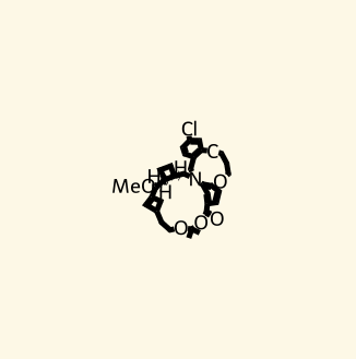 CO[C@@H]1C2=CC(CCOC(C)(C)OC(=O)c3ccc4c(c3)N(Cc3ccc(Cl)cc3CCCCO4)C[C@@H]3CC[C@H]31)C2